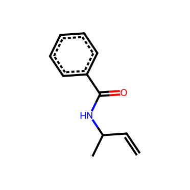 C=CC(C)NC(=O)c1ccccc1